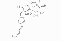 C=CCOc1ccc(Cc2cc([C@]3(OC)OC(CO)(CO)[C@@H](O)[C@H](O)[C@H]3O)ccc2Cl)cc1